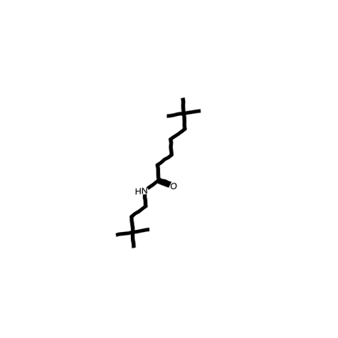 CC(C)(C)CCCCC(=O)NCCC(C)(C)C